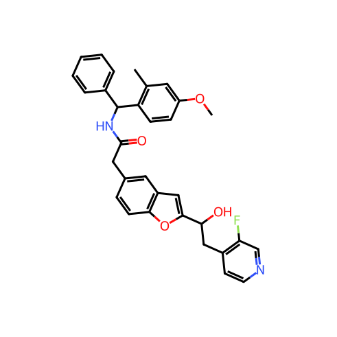 COc1ccc(C(NC(=O)Cc2ccc3oc(C(O)Cc4ccncc4F)cc3c2)c2ccccc2)c(C)c1